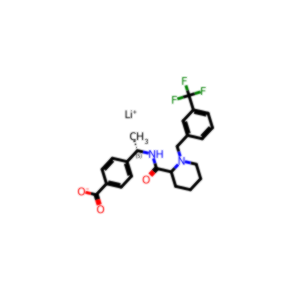 C[C@H](NC(=O)C1CCCCN1Cc1cccc(C(F)(F)F)c1)c1ccc(C(=O)[O-])cc1.[Li+]